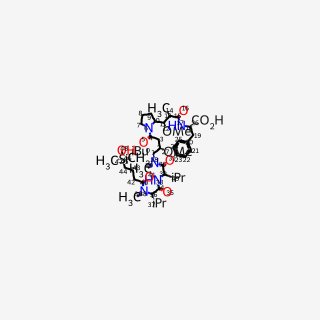 CC[C@H](C)[C@@H]([C@@H](CC(=O)N1CCCC1[C@H](OC)[C@@H](C)C(=O)N[C@@H](Cc1ccccc1)C(=O)O)OC)N(C)C(=O)C(NC(=O)C(C(C)C)N(C)C(=O)CCC[Si](C)(C)O)C(C)C